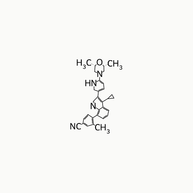 Cc1cc(C#N)ccc1-c1cccc2c(C3CC3)c(C3=CC=C(N4C[C@@H](C)O[C@@H](C)C4)NC3)cnc12